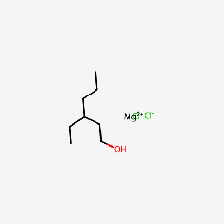 CCCC(CC)CCO.[Cl-].[Cl-].[Mg+2]